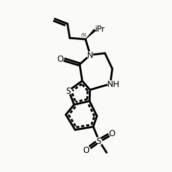 C=CC[C@@H](C(C)C)N1CCNc2c(sc3ccc(S(C)(=O)=O)cc23)C1=O